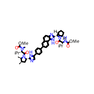 COC(=O)N[C@H](C(=O)N1[C@@H]2CC[C@@H](C2)[C@H]1c1nc2ccc3cc(-c4ccc(-c5cnc([C@@H]6C[C@@H](C)[C@@H](C)N6C(=O)[C@H](C(C)C)N(C)C(=O)OC)[nH]5)cc4)ccc3c2[nH]1)C(C)C